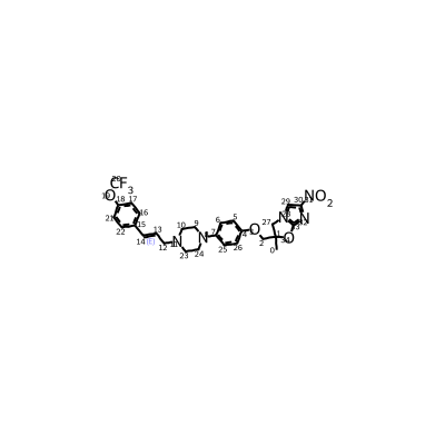 CC1(COc2ccc(N3CCN(C/C=C/c4ccc(OC(F)(F)F)cc4)CC3)cc2)Cn2cc([N+](=O)[O-])nc2O1